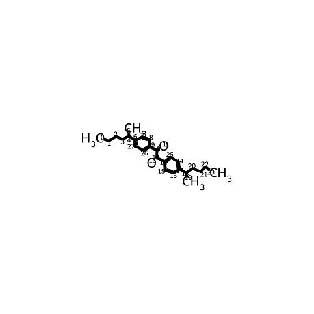 CCCCC(C)c1ccc(C(=O)C(=O)c2ccc(C(C)CCCC)cc2)cc1